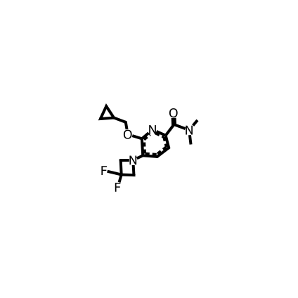 CN(C)C(=O)c1ccc(N2CC(F)(F)C2)c(OCC2CC2)n1